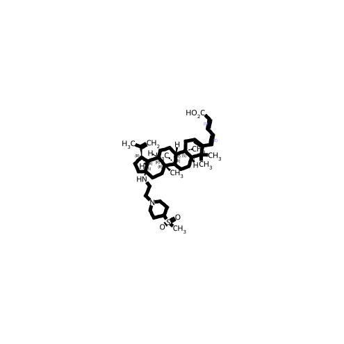 C=C(C)[C@@H]1CC[C@]2(NCCN3CCC(S(C)(=O)=O)CC3)CC[C@]3(C)[C@H](CC[C@@H]4[C@@]5(C)CC=C(/C=C\C=C\C(=O)O)C(C)(C)[C@@H]5CC[C@]43C)[C@@H]12